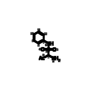 CC(=O)C(N)S(=O)(=O)Nc1ccccc1